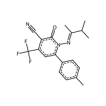 C/C(=N\n1c(-c2ccc(C)cc2)cc(C(F)(F)F)c(C#N)c1=O)C(C)C